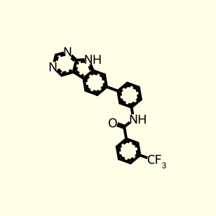 O=C(Nc1cccc(-c2ccc3c(c2)[nH]c2ncncc23)c1)c1cccc(C(F)(F)F)c1